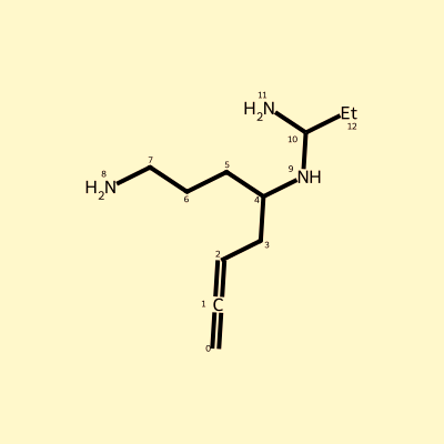 C=C=CCC(CCCN)NC(N)CC